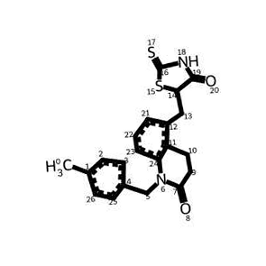 Cc1ccc(CN2C(=O)CCc3c(CC4SC(=S)NC4=O)cccc32)cc1